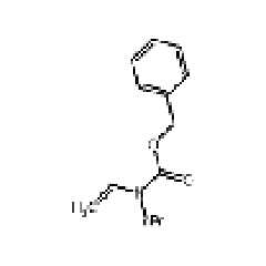 C=CN(CCC)C(=O)OCc1ccccc1